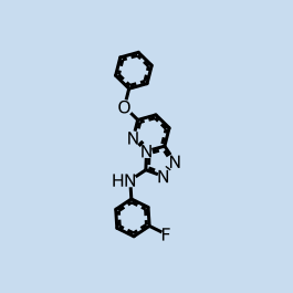 Fc1cccc(Nc2nnc3ccc(Oc4ccccc4)nn23)c1